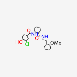 COc1ccccc1CCNC(=O)c1ccccc1NC(=O)c1ccc(O)c(Cl)c1